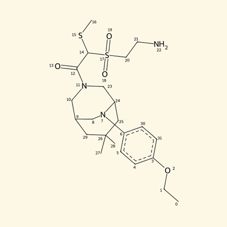 CCOc1ccc(N2CC3CN(C(=O)C(SC)S(=O)(=O)CCN)CC2CC(C)(C)C3)cc1